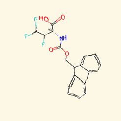 O=C(N[C@@H](C(=O)O)C(F)C(F)F)OCC1c2ccccc2-c2ccccc21